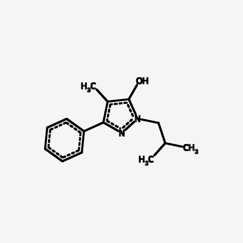 Cc1c(-c2ccccc2)nn(CC(C)C)c1O